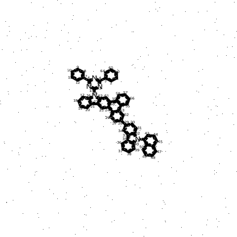 c1ccc(-c2nc(-c3ccccc3)nc(-n3c4ccccc4c4cc5c6ccc(-c7ccc8c(c7)c7ccccc7n8-c7cccc8ccccc78)cc6c6ccccc6c5cc43)n2)cc1